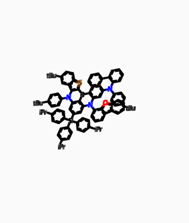 CC(C)c1ccc([Si](c2ccc(C(C)C)cc2)(c2ccc(C(C)C)cc2)c2cc3c4c(c2)N(c2cccc5c2oc2ccccc25)c2cc(N(c5ccc(C(C)(C)C)cc5)c5ccccc5-c5ccccc5)ccc2B4c2sc4ccc(C(C)(C)C)cc4c2N3c2ccc(C(C)(C)C)cc2)cc1